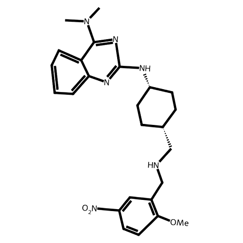 COc1ccc([N+](=O)[O-])cc1CNC[C@H]1CC[C@@H](Nc2nc(N(C)C)c3ccccc3n2)CC1